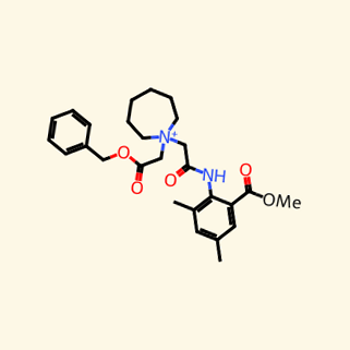 COC(=O)c1cc(C)cc(C)c1NC(=O)C[N+]1(CC(=O)OCc2ccccc2)CCCCCC1